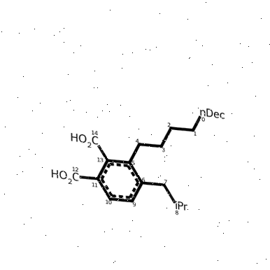 CCCCCCCCCCCCCCc1c(CC(C)C)ccc(C(=O)O)c1C(=O)O